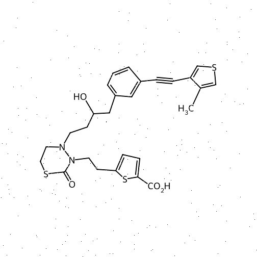 Cc1cscc1C#Cc1cccc(CC(O)CCN2CCSC(=O)N2CCc2ccc(C(=O)O)s2)c1